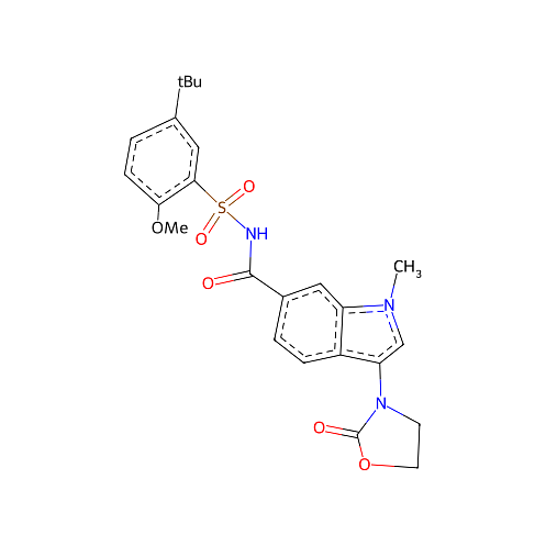 COc1ccc(C(C)(C)C)cc1S(=O)(=O)NC(=O)c1ccc2c(N3CCOC3=O)cn(C)c2c1